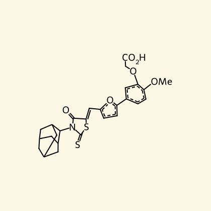 COc1ccc(-c2ccc(C=C3SC(=S)N(C4C5CC6CC(C5)CC4C6)C3=O)o2)cc1OCC(=O)O